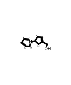 OCC1=CCC(N2C=CC=CC2)C1